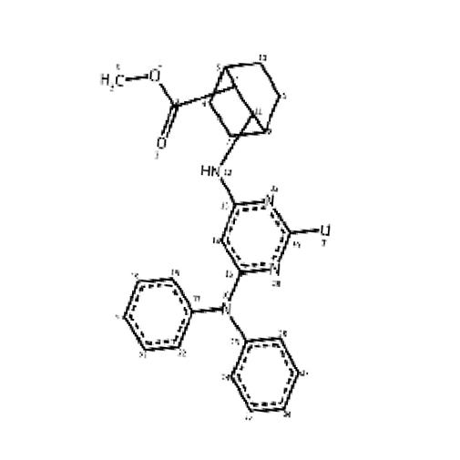 COC(=O)C1C2CCC(CC2)C1Nc1cc(N(c2ccccc2)c2ccccc2)nc(Cl)n1